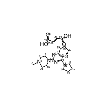 CN1CCN(c2nc3c(c(N4CCCC4)n2)SCCC3)CC1.O=C(O)C=CC(=O)O